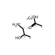 CC(=O)O.CC(O)CN.[Cu]